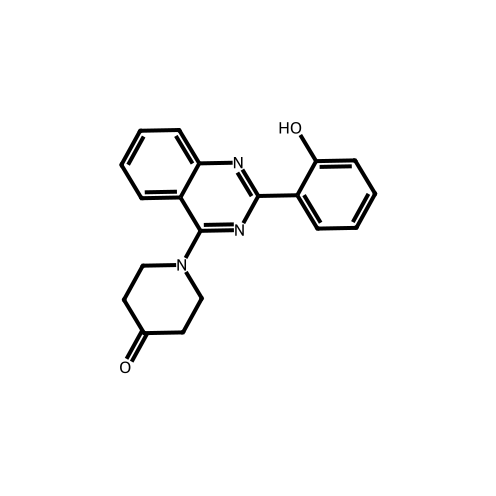 O=C1CCN(c2nc(-c3ccccc3O)nc3ccccc23)CC1